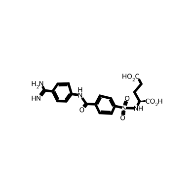 N=C(N)c1ccc(NC(=O)c2ccc(S(=O)(=O)N[C@@H](CCC(=O)O)C(=O)O)cc2)cc1